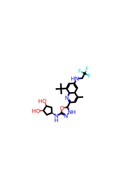 CC1=CC(C2NN=C(N[C@H]3C[C@@H](O)[C@@H](O)C3)O2)=NC2C(C(C)(C)C)=CC(NCC(F)(F)F)=CC12